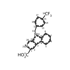 O=C(O)c1cc2c3ccccc3n(Cc3ccc(C(F)(F)F)cc3)c2cn1